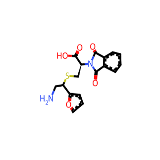 NCC(SC[C@@H](C(=O)O)N1C(=O)c2ccccc2C1=O)c1ccco1